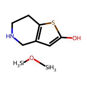 Oc1cc2c(s1)CCNC2.[SiH3]O[SiH3]